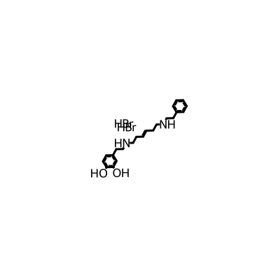 Br.Br.Oc1ccc(CCNCCC=CCCNCCc2ccccc2)cc1O